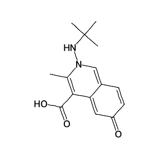 Cc1c(C(=O)O)c2cc(=O)ccc-2cn1NC(C)(C)C